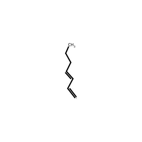 [C]=CC=CCCC